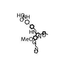 COc1cc2c(NCc3ccc([C@H]4CC[C@@H](C(=O)NO)CC4)cc3)cc(-c3ccc(C)o3)nc2cc1OCCCN1CCCC1